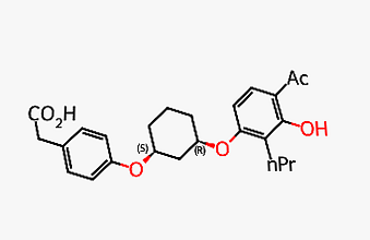 CCCc1c(O[C@@H]2CCC[C@H](Oc3ccc(CC(=O)O)cc3)C2)ccc(C(C)=O)c1O